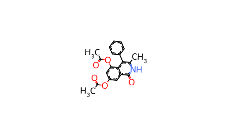 CC(=O)Oc1cc(OC(C)=O)c2c(-c3ccccc3)c(C)[nH]c(=O)c2c1